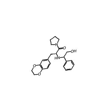 O=C([C@H](Cc1ccc2c(c1)OCCO2)NC(CO)c1ccccc1)N1CCCC1